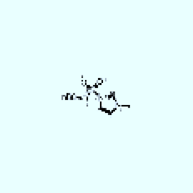 CCCCOS(=O)(=O)[n+]1ccn(C)c1